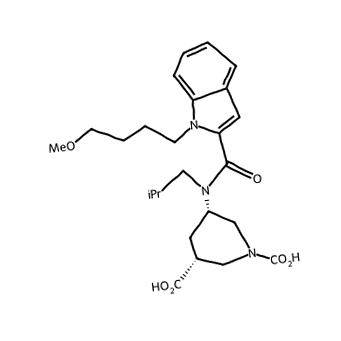 COCCCCn1c(C(=O)N(CC(C)C)[C@H]2C[C@@H](C(=O)O)CN(C(=O)O)C2)cc2ccccc21